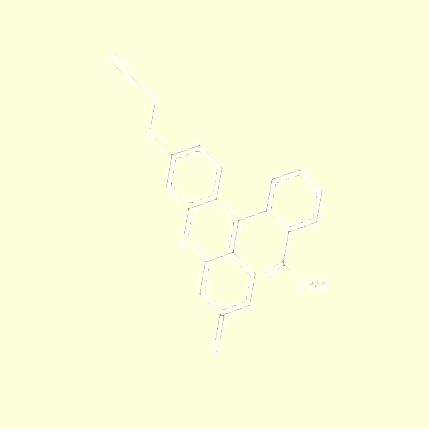 C#CCOc1ccc2c(-c3ccccc3C(=O)OC)c3ccc(=O)cc-3oc2c1